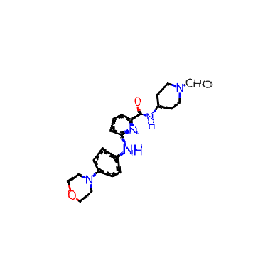 O=CN1CCC(NC(=O)c2cccc(Nc3ccc(N4CCOCC4)cc3)n2)CC1